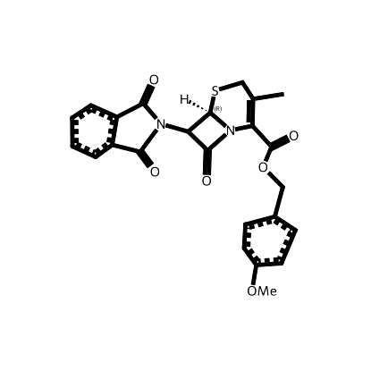 COc1ccc(COC(=O)C2=C(C)CS[C@@H]3C(N4C(=O)c5ccccc5C4=O)C(=O)N23)cc1